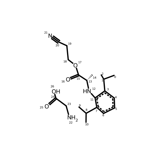 CC(C)c1cccc(C(C)C)c1N[C@@H](C)C(=O)OCCC#N.NCC(=O)O